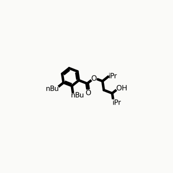 CCCCc1cccc(C(=O)OC(CC(O)C(C)C)C(C)C)c1CCCC